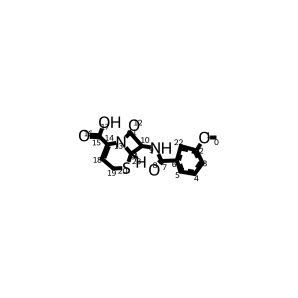 COc1cccc(C(=O)NC2C(=O)N3C(C(=O)O)=CCS[C@@H]23)c1